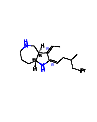 C/C=C1\C(=C/CC(C)CC(C)C)N[C@@H]2CCCNC[C@@H]12